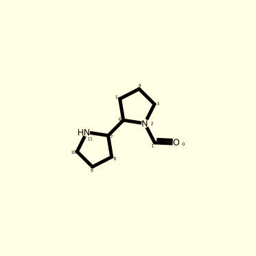 O=CN1CCCC1C1CCCN1